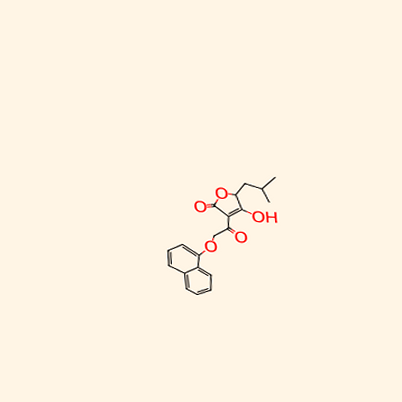 CC(C)CC1OC(=O)C(C(=O)COc2cccc3ccccc23)=C1O